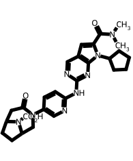 CN(C)C(=O)c1cc2cnc(Nc3ccc(N4CC5CCC(CC4=O)N5C(=O)O)cn3)nc2n1C1CCCC1